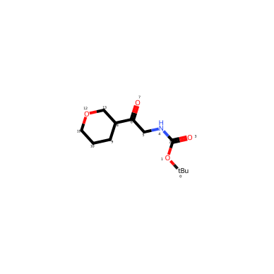 CC(C)(C)OC(=O)NCC(=O)C1CCCOC1